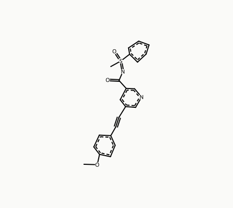 COc1ccc(C#Cc2cncc(C(=O)N=S(C)(=O)c3ccccc3)c2)cc1